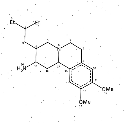 CCC(CC)CC1CN2CCc3cc(OC)c(OC)cc3C2CC1N